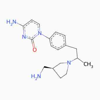 CC(Cc1ccc(-n2ccc(N)nc2=O)cc1)N1CC[C@@H](CN)C1